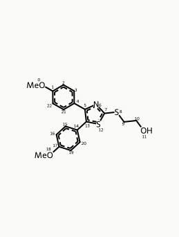 COc1ccc(-c2nc(SCCO)sc2-c2ccc(OC)cc2)cc1